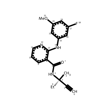 C#C[C@@](C)(CC)NC(=O)c1cccnc1Nc1cc(F)cc(OC)c1